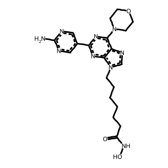 Nc1ncc(-c2nc(N3CCOCC3)c3ncn(CCCCCCC(=O)NO)c3n2)cn1